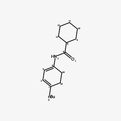 CCCCC1=CC=C(NC(=O)C2CCCCC2)CC1